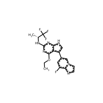 CCOc1nc(N[C@H](C)C(F)(F)F)nc2[nH]cc(-c3cc(F)c4nccn4c3)c12